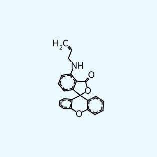 C=CCNc1cccc2c1C(=O)OC21c2ccccc2Oc2ccccc21